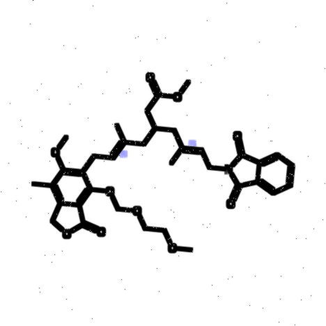 COCCOCOc1c(C/C=C(\C)CC(CC(=O)OC)C/C(C)=C/CN2C(=O)c3ccccc3C2=O)c(OC)c(C)c2c1C(=O)OC2